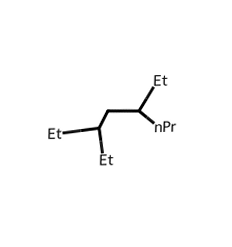 [CH2]CC(CC)CC(CC)CCC